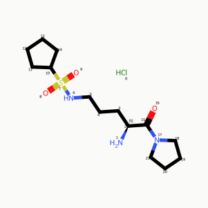 Cl.N[C@@H](CCCNS(=O)(=O)C1CCCC1)C(=O)N1CCCC1